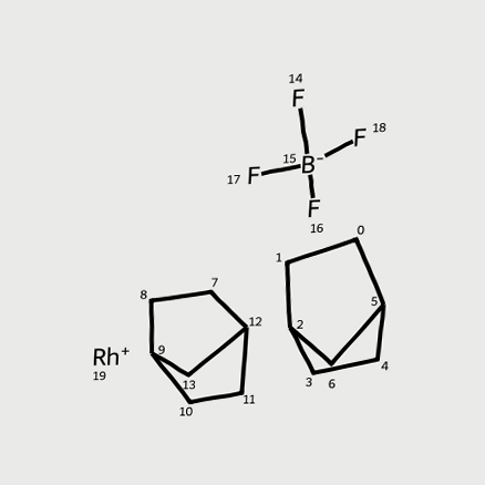 C1CC2CCC1C2.C1CC2CCC1C2.F[B-](F)(F)F.[Rh+]